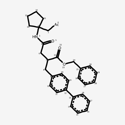 CC(=O)CC1(NC(=O)CC(Cc2ccc(-c3ccccc3)cc2)C(=O)OCc2ccccc2)CCCC1